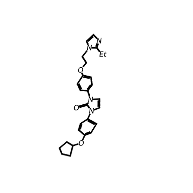 CCc1nccn1CCOc1ccc(-n2ccn(-c3ccc(OC4CCCC4)cc3)c2=O)cc1